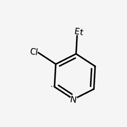 CCc1ccn[c]c1Cl